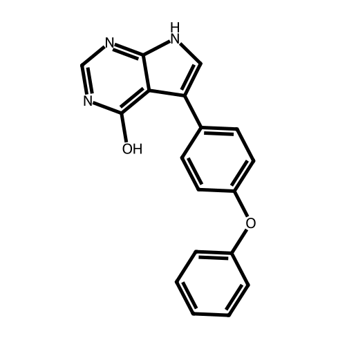 Oc1ncnc2[nH]cc(-c3ccc(Oc4ccccc4)cc3)c12